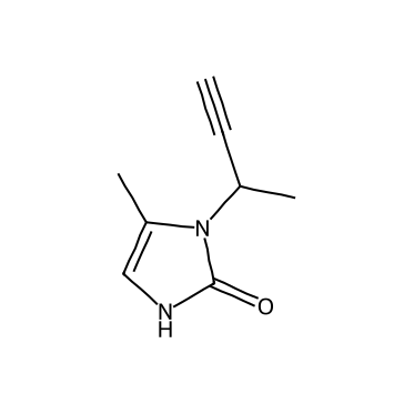 C#CC(C)n1c(C)c[nH]c1=O